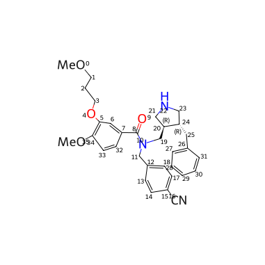 COCCCOc1cc(C(=O)N(Cc2ccc(C#N)cc2)C[C@H]2CNC[C@@H]2Cc2ccccc2)ccc1OC